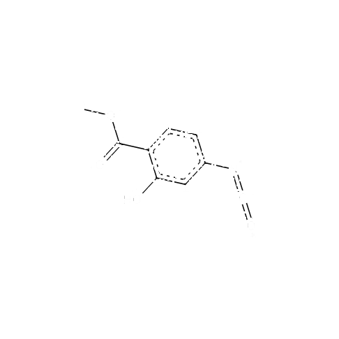 COC(=O)c1ccc(N=C=O)cc1O